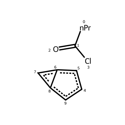 CCCC(=O)Cl.c1cc2cc-2c1